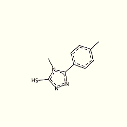 Cc1ccc(-c2nnc(S)n2C)cc1